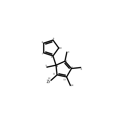 CC1=C(C)C(C)(C2=CC=CC2)[C]([Zr])=C1C